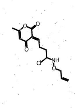 C=CCONC(Cl)CCC=C1C(=O)C=C(C)OC1=O